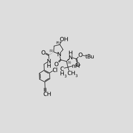 C#Cc1ccc(CNC(=O)[C@@H]2C[C@@H](O)CN2C(=O)[C@@H](NC(=O)OC(C)(C)C)C(C)(C)CCC)c(Cl)c1